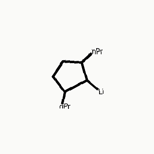 [Li][CH]1C(CCC)CCC1CCC